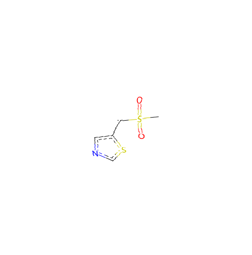 CS(=O)(=O)[CH]c1cncs1